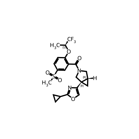 C[C@H](Oc1ccc(S(C)(=O)=O)cc1C(=O)N1C[C@@H]2C[C@]2(c2coc(C3CC3)n2)C1)C(F)(F)F